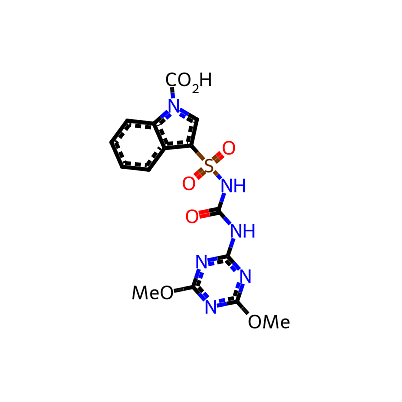 COc1nc(NC(=O)NS(=O)(=O)c2cn(C(=O)O)c3ccccc23)nc(OC)n1